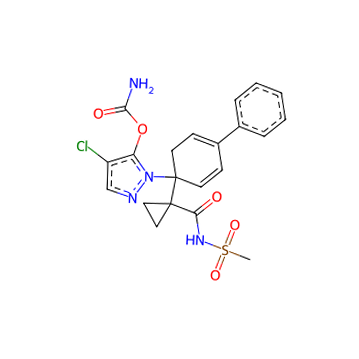 CS(=O)(=O)NC(=O)C1(C2(n3ncc(Cl)c3OC(N)=O)C=CC(c3ccccc3)=CC2)CC1